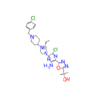 CC[C@H]1CN(c2nc(N)c(-c3nnc(C(C)(C)O)o3)nc2Cl)CCN1C1CCN(Cc2ccc(Cl)cc2)CC1